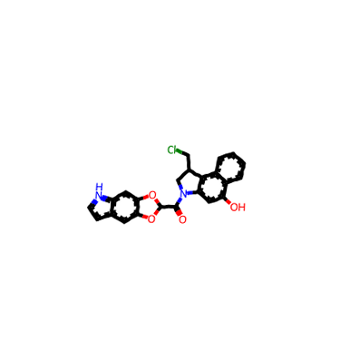 O=C(C1Oc2cc3cc[nH]c3cc2O1)N1CC(CCl)c2c1cc(O)c1ccccc21